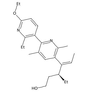 C/C=C(\c1cc(C)c(-c2ccc(OCC)nc2CC)nc1C)[C@@H](CC)CCO